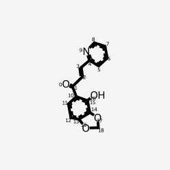 O=C(/C=C/c1ccccn1)c1ccc2c(c1O)OCO2